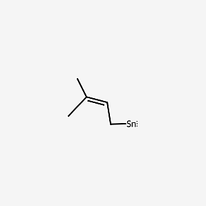 CC(C)=C[CH2][Sn]